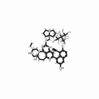 C#Cc1c(F)ccc2cc(O)cc(-c3nc4c5c(nc(OC[C@@]67CCCN6C[C@H](OC(C(F)(F)F)(C(F)(F)F)C(F)(F)F)C7)nc5c3F)N3C[C@@H](CC)NC[C@H]3CC4)c12